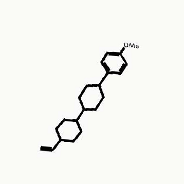 C=CC1CCC(C2CCC(c3ccc(OC)cc3)CC2)CC1